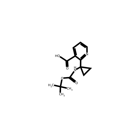 CC(C)(C)OC(=O)NC1(c2ncccc2C(=O)O)CC1